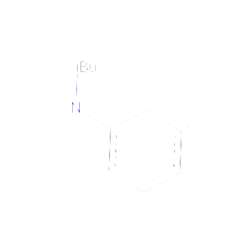 CCC(C)[N]c1ccccc1